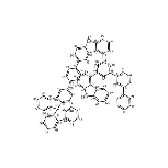 c1ccc(-c2cccc(-c3nc(-c4cccc5oc6ccc(-c7ccc(-c8ccc9c(c8)-c8ccccc8C98c9ccccc9-c9ccccc98)cc7)cc6c45)nc(-c4cccc5sc6ccccc6c45)n3)c2)cc1